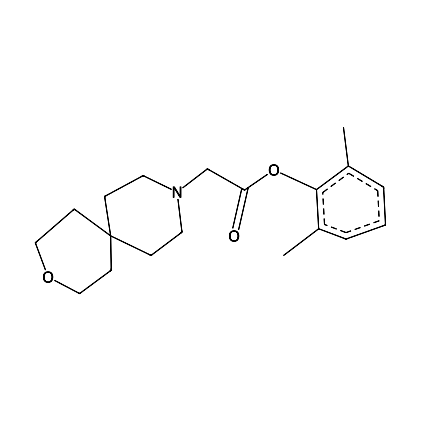 Cc1cccc(C)c1OC(=O)CN1CCC2(CCOCC2)CC1